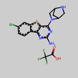 Nc1nc(N2CC3CC2CN3)c2sc3cc(Br)ccc3c2n1.O=C(O)C(F)(F)F